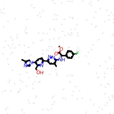 COC(=O)[C@H](Nc1nnc(-c2ccc(-n3cnc(C)c3)c(CO)n2)cc1C)c1ccc(F)cc1